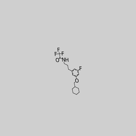 O=C(NCCCc1cc(F)cc(OCC2CCCCC2)c1)C(F)(F)F